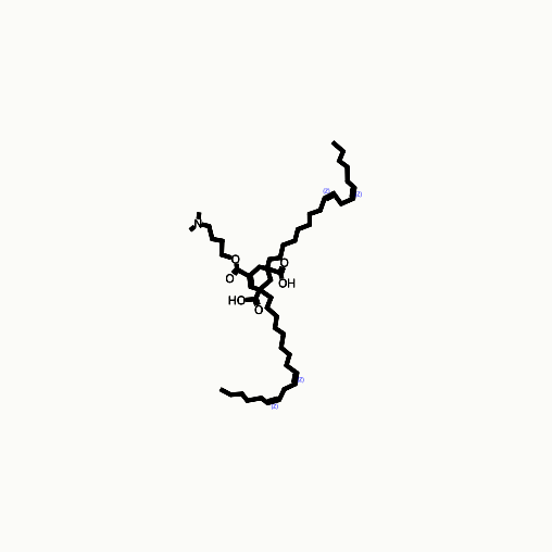 CCCCC/C=C\C/C=C\CCCCCCCCC1(C(=O)O)C=C(C(=O)OCCCCN(C)C)CC(CCCCCCCC/C=C\C/C=C\CCCCC)(C(=O)O)C1